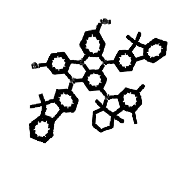 Cc1cc(C)c2c(c1)N(c1cc3c4c(c1)N(c1ccc5c(c1)C(C)(C)c1ccccc1-5)c1cc(C(C)(C)C)ccc1B4c1ccc(C(C)(C)C)cc1N3c1ccc3c(c1)C(C)(C)c1ccccc1-3)C1(C)CCCCC21C